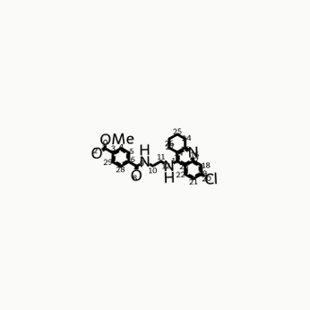 COC(=O)c1ccc(C(=O)NCCNc2c3c(nc4cc(Cl)ccc24)CCCC3)cc1